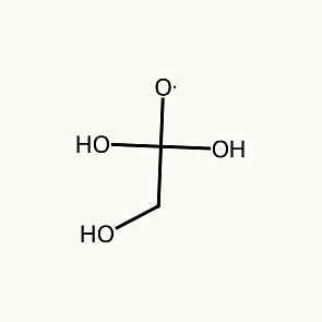 [O]C(O)(O)CO